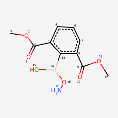 COC(=O)c1cccc(C(=O)OC)c1B(O)ON